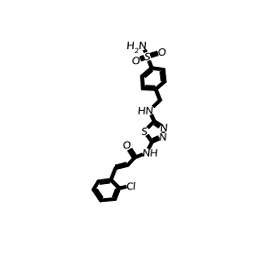 NS(=O)(=O)c1ccc(CNc2nnc(NC(=O)C=Cc3ccccc3Cl)s2)cc1